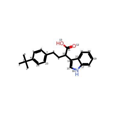 CC(C)(C)c1ccc(CCC(C(=O)O)c2c[nH]c3ccccc23)cc1